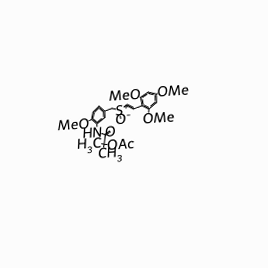 COc1cc(OC)c(C=C[S+]([O-])Cc2ccc(OC)c(NC(=O)C(C)(C)OC(C)=O)c2)c(OC)c1